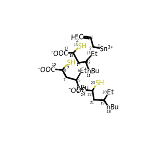 C=C[CH2][Sn+3].CCCCC(CC)CC(S)C(=O)[O-].CCCCC(CC)CC(S)C(=O)[O-].CCCCC(CC)CC(S)C(=O)[O-]